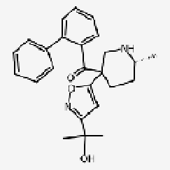 C[C@@H]1CC[C@](C(=O)c2ccccc2-c2ccccc2)(c2cc(C(C)(C)O)no2)CN1